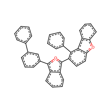 c1ccc(-c2cccc(-c3oc(-c4ccc5oc6ccccc6c5c4-c4ccccc4)c4ccccc34)c2)cc1